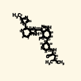 Cc1cn(-c2nccc3[nH]c(-c4n[nH]c5ccc(-c6cncc(NC(=O)CC(C)C)c6)c(F)c45)nc23)cn1